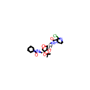 CC1(C)O[C@@H]2[C@@H](CNC(=O)c3cccnc3Cl)OC[C@]2(CNC(=O)c2ccccc2)O1